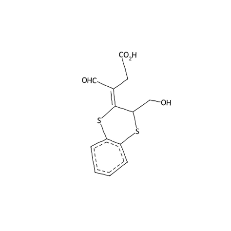 O=C/C(CC(=O)O)=C1\Sc2ccccc2SC1CO